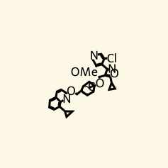 COc1cncc(Cl)c1-c1noc(C2CC2)c1COC12CCC(COc3ccc4cccc(C5CC5)c4n3)(CC1)CC2